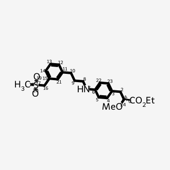 CCOC(=O)[C@H](Cc1ccc(NCCCc2cccc(CS(C)(=O)=O)c2)cc1)OC